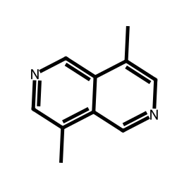 Cc1cncc2c(C)cncc12